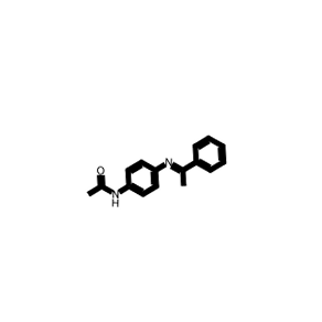 CC(=O)Nc1ccc(/N=C(\C)c2ccccc2)cc1